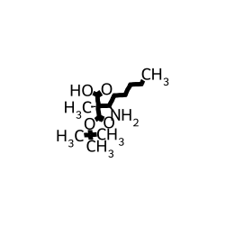 CCCCC[C@H](N)[C@](C)(C(=O)O)C(=O)OC(C)(C)C